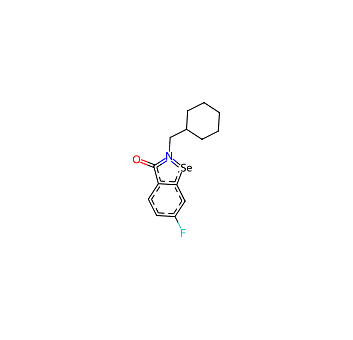 O=c1c2ccc(F)cc2[se]n1CC1CCCCC1